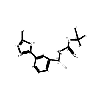 Cc1nnc(-c2cccc([C@@H](C)NC(=O)OC(C)(C)C)c2)s1